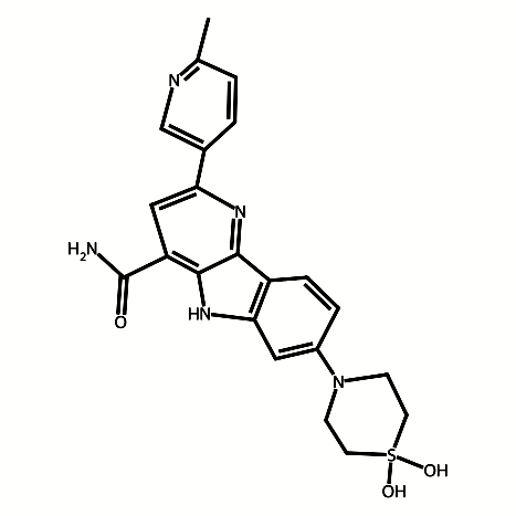 Cc1ccc(-c2cc(C(N)=O)c3[nH]c4cc(N5CCS(O)(O)CC5)ccc4c3n2)cn1